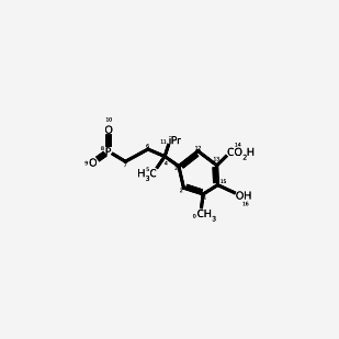 Cc1cc(C(C)(CCP(=O)=O)C(C)C)cc(C(=O)O)c1O